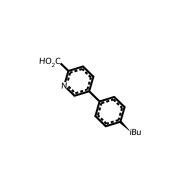 CC[C@H](C)c1ccc(-c2ccc(C(=O)O)nc2)cc1